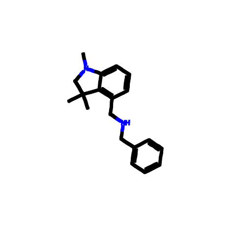 CN1CC(C)(C)c2c(CNCc3ccccc3)cccc21